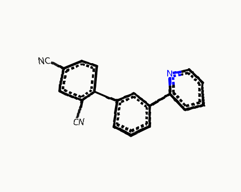 N#Cc1ccc(-c2cccc(-c3ccccn3)c2)c(C#N)c1